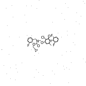 Cc1cc(OCN(Cc2cccc(F)c2)C(=O)OCC2CC2)c(Cl)c(=O)n1-c1c(F)cccc1F